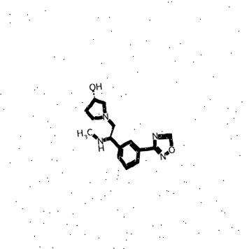 CN[C@@H](CN1CC[C@H](O)C1)c1cccc(-c2ncon2)c1